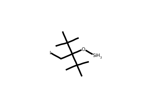 CC(C)(C)C(CI)(O[SiH3])C(C)(C)C